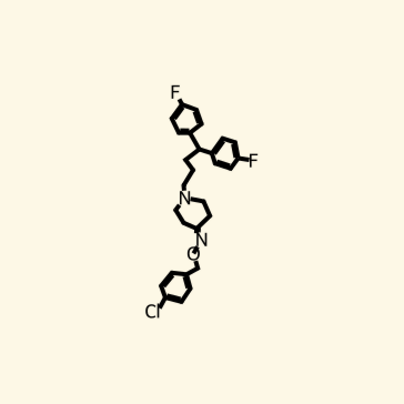 Fc1ccc(C(CCCN2CCC(=NOCc3ccc(Cl)cc3)CC2)c2ccc(F)cc2)cc1